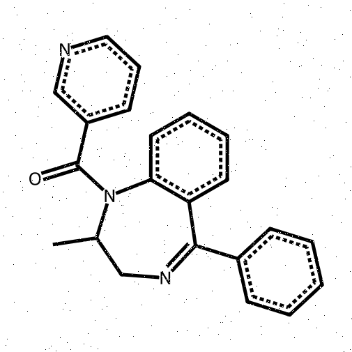 CC1CN=C(c2ccccc2)c2ccccc2N1C(=O)c1cccnc1